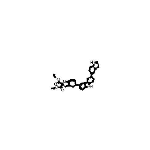 CCOC(=O)C1(C(=O)OCC)C=c2cc(-c3ccc4[nH]c5ccc(-c6ccc7[nH]ccc7c6)cc5c4c3)ccc2=N1